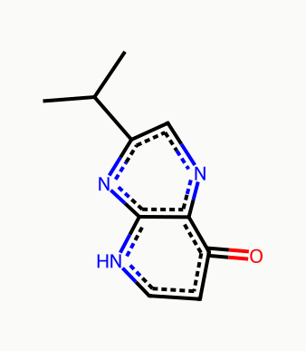 CC(C)c1cnc2c(=O)cc[nH]c2n1